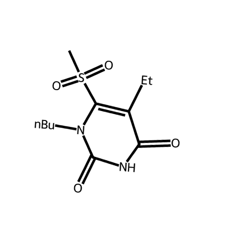 CCCCn1c(S(C)(=O)=O)c(CC)c(=O)[nH]c1=O